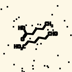 CCCCC(=O)O.O=CCCCCC(=O)O